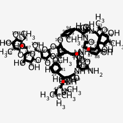 CC[C@H]1O[C@@H](O[C@H]2C(O)[C@@H](O)[C@H](O[C@H]3[C@H](O)[C@@H](O)[C@H](Oc4c5cc6cc4Oc4ccc(cc4C)[C@@H](O)[C@@H](NC(=O)[C@@H](CC(C)C)N(C)C)C(=O)N[C@@H](CC(N)=O)C(=O)N[C@H]6C(=O)N[C@H]4C(=O)N[C@H](C(=O)N[C@@H](C(C)=O)c6cc(O)c(C)c(O)c6-c6cc4ccc6O)[C@H](C)c4ccc(c(C)c4)O5)O[C@@H]3CO)O[C@@H]2CO)[C@H](C)[C@@H](O)[C@H]1O